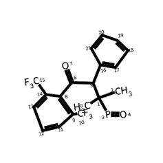 CC(C)(P=O)C(C(=O)c1c(C(F)(F)F)cccc1C(F)(F)F)c1ccccc1